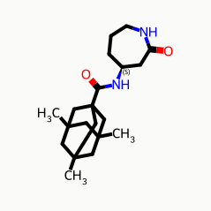 CC12CC3(C)CC(C)(C1)CC(C(=O)N[C@H]1CCCNC(=O)C1)(C2)C3